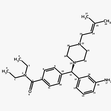 CCN(CC)C(=O)c1ccc([C@H](c2cccc(N)c2)N2CCN(CC=C(C)C)CC2)cc1